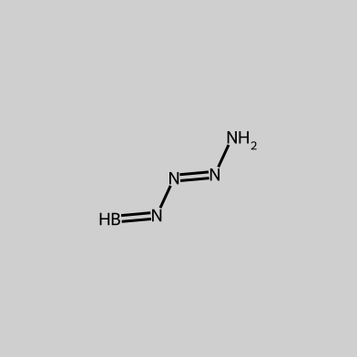 B=N/N=N/N